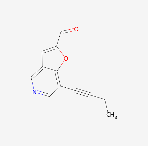 CCC#Cc1cncc2cc(C=O)oc12